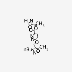 CCCCc1noc(C)c1COc1ccc(C(=O)O[C@@H](C)C(N)=O)nn1